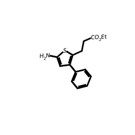 CCOC(=O)CCc1sc(N)cc1-c1ccccc1